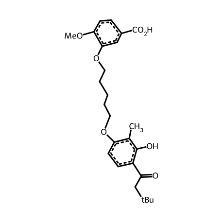 COc1ccc(C(=O)O)cc1OCCCCCOc1ccc(C(=O)CC(C)(C)C)c(O)c1C